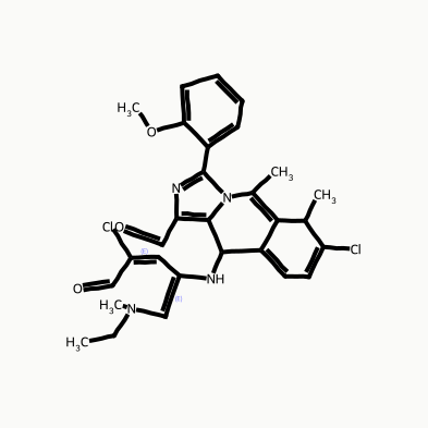 CCN(C)/C=C(\C=C(\Cl)C=O)NC1C2=CC=C(Cl)C(C)C2=C(C)n2c(-c3ccccc3OC)nc(C=O)c21